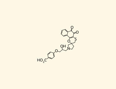 O=C1C(=O)c2ccccc2C2=C1SCC1(CCN(C[C@H](O)COc3ccc(C(=O)O)cc3)C1)O2